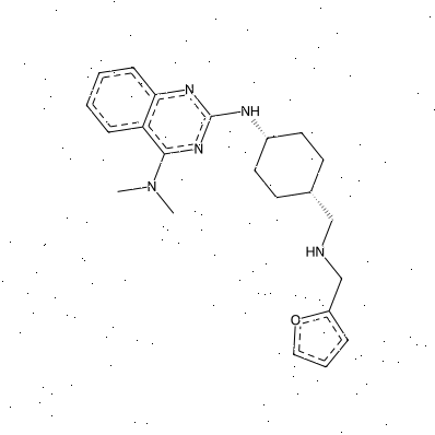 CN(C)c1nc(N[C@H]2CC[C@@H](CNCc3ccco3)CC2)nc2ccccc12